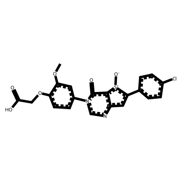 COc1cc(-n2cnc3cc(-c4ccc(Cl)cc4)[s+]([O-])c3c2=O)ccc1OCC(=O)O